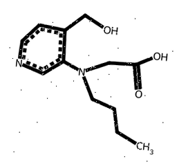 CCCCN(CC(=O)O)c1cnccc1CO